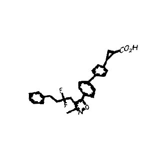 Cc1noc(-c2ccc(-c3ccc(C4CC4C(=O)O)cc3)cc2)c1CC(F)(F)CCc1ccccc1